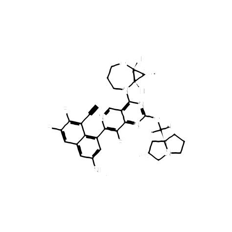 [2H]C([2H])(Oc1nc(N2CCCO[C@@H]3[C@H](F)[C@@H]32)c2cnc(-c3cc(N)cc4cc(F)c(F)c(C#C)c34)c(F)c2n1)[C@@]12CCCN1C[C@H](F)C2